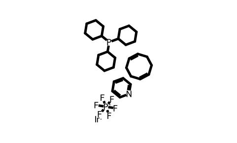 C1=CCCC=CCC1.C1CCC(P(C2CCCCC2)C2CCCCC2)CC1.F[P-](F)(F)(F)(F)F.[Ir].c1ccncc1